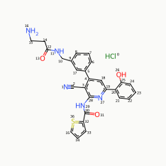 Cl.N#Cc1c(-c2cccc(CNC(=O)CCN)c2)cc(-c2ccccc2O)nc1NC(=O)c1cccs1